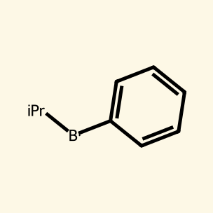 CC(C)[B]c1ccccc1